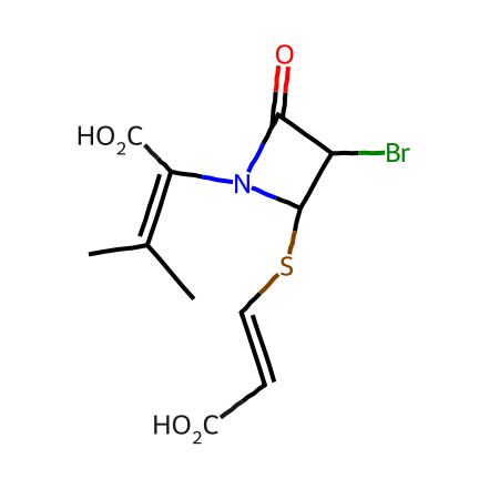 CC(C)=C(C(=O)O)N1C(=O)C(Br)C1SC=CC(=O)O